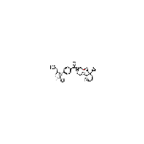 O=C(c1ccc(N2C(=O)OC[C@H]2CO)cc1)N1CCN(C2N=CC=CC2(C2CC2)C2CC2)CC1